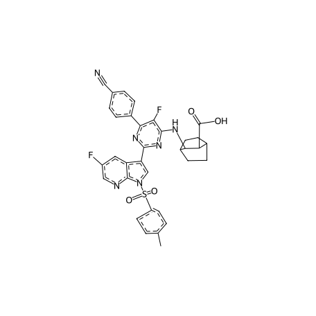 Cc1ccc(S(=O)(=O)n2cc(-c3nc(NC4C5CCC(CC5)C4C(=O)O)c(F)c(-c4ccc(C#N)cc4)n3)c3cc(F)cnc32)cc1